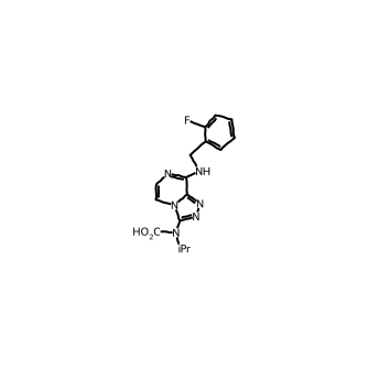 CC(C)N(C(=O)O)c1nnc2c(NCc3ccccc3F)nccn12